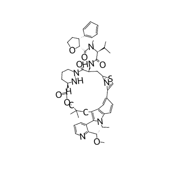 CCn1c(-c2cccnc2[C@H](C)OC)c2c3cc(ccc31)-c1csc(n1)C[C@H](NC(=O)[C@H](C(C)C)N(C)C(=O)[C@@H]1OCC[C@@H]1c1ccccc1)C(=O)N1CCC[C@H](N1)C(=O)OCC(C)(C)C2